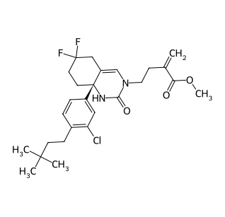 C=C(CCN1C=C2CC(F)(F)CC[C@@]2(c2ccc(CCC(C)(C)C)c(Cl)c2)NC1=O)C(=O)OC